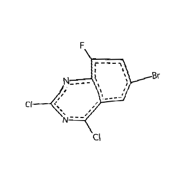 Fc1cc(Br)cc2c(Cl)nc(Cl)nc12